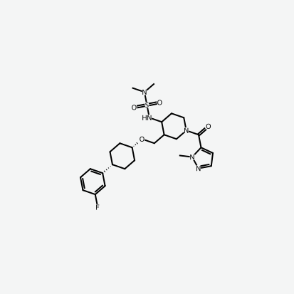 CN(C)S(=O)(=O)NC1CCN(C(=O)c2ccnn2C)CC1CO[C@H]1CC[C@@H](c2cccc(F)c2)CC1